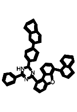 c1ccc(C2=NC(c3cccc4oc5c(-c6cccc7ccccc67)cccc5c34)=NC(c3ccc(-c4ccc5ccccc5c4)cc3)N2)cc1